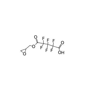 O=C(O)C(F)(F)C(F)(F)C(F)(F)C(=O)OCC1CO1